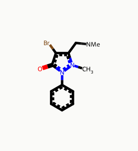 CNCc1c(Br)c(=O)n(-c2ccccc2)n1C